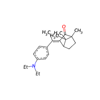 CCN(CC)c1ccc(C(C)=C2C(=O)C3(C)CCC2C3(C)C)cc1